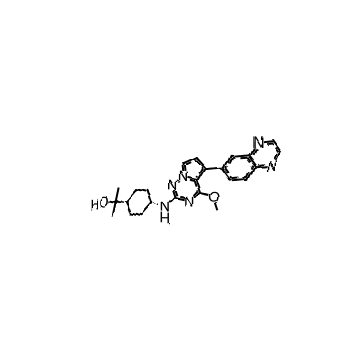 COc1nc(N[C@H]2CC[C@H](C(C)(C)O)CC2)nn2ccc(-c3ccc4nccnc4c3)c12